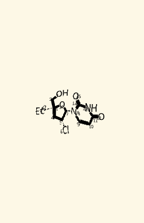 CC[C@@]1(CO)C[C@@H](Cl)[C@@H](n2ccc(=O)[nH]c2=O)O1